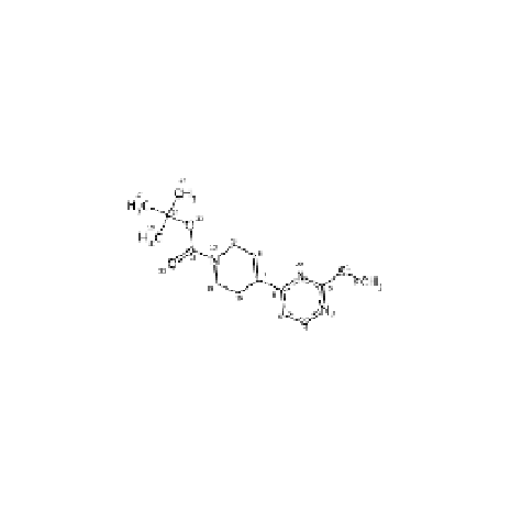 CSc1nccc(C2=CCN(C(=O)OC(C)(C)C)CC2)n1